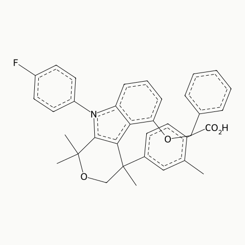 Cc1cc(C2(C)COC(C)(C)c3c2c2c(OCc4ccccc4)cccc2n3-c2ccc(F)cc2)ccc1C(=O)O